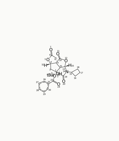 CC(C)(C)[C@]1(O)C[C@@H]2OC(=O)C[C@@]23C(=O)O[C@@H]2N(C4CCC4)C(=O)[C@H](OC(=O)c4ccccc4)[C@]213